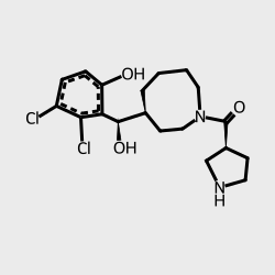 O=C([C@H]1CCNC1)N1CCCC[C@H]([C@@H](O)c2c(O)ccc(Cl)c2Cl)CC1